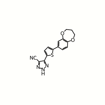 N#Cc1n[nH]nc1-c1ccc(-c2ccc3c(c2)OCCCO3)s1